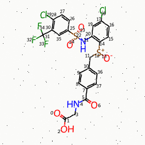 O=C(O)CNC(=O)c1ccc(C[S+]([O-])c2ccc(Cl)cc2NS(=O)(=O)c2ccc(Cl)c(C(F)(F)F)c2)cc1